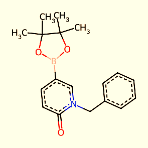 CC1(C)OB(c2ccc(=O)n(Cc3ccccc3)c2)OC1(C)C